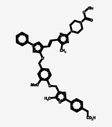 COc1cc(COc2nn(-c3ccccc3)cc2C=Cc2nc(N3CCN(C(=O)OC(C)(C)C)CC3)sc2C)ccc1OCc1nc(-c2ccc(CC(=O)O)cc2)oc1C